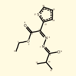 CCOC(=O)C(=NN=C(Cl)C(C)C)c1cccs1